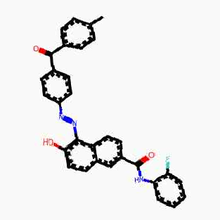 Cc1ccc(C(=O)c2ccc(N=Nc3c(O)ccc4cc(C(=O)Nc5ccccc5F)ccc34)cc2)cc1